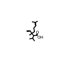 C=CC(C)(CCC=C(C)C)C(C(=O)O)C(C)C